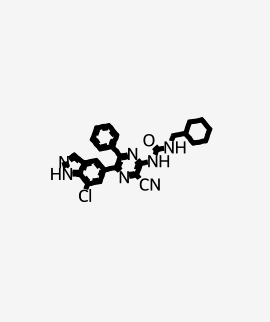 N#Cc1nc(-c2cc(Cl)c3[nH]ncc3c2)c(-c2ccccc2)nc1NC(=O)NCC1CCCCC1